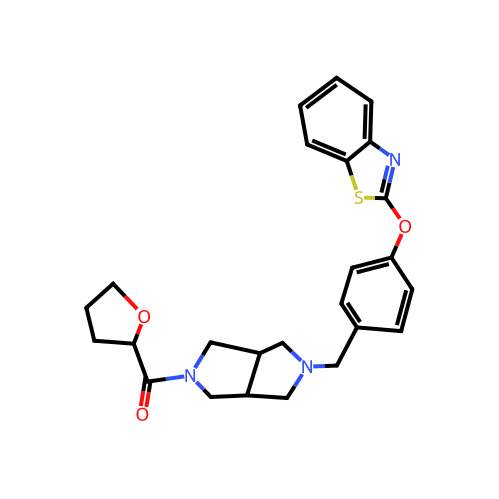 O=C(C1CCCO1)N1CC2CN(Cc3ccc(Oc4nc5ccccc5s4)cc3)CC2C1